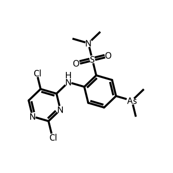 CN(C)S(=O)(=O)c1cc([As](C)C)ccc1Nc1nc(Cl)ncc1Cl